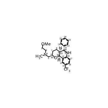 COCCN(C)C[C@H]1CC[C@@H]2[C@H](O1)c1cc(C(F)(F)F)ccc1N[C@H]2c1ccccc1